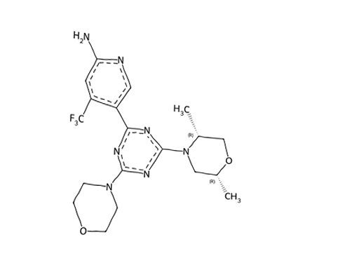 C[C@@H]1CN(c2nc(-c3cnc(N)cc3C(F)(F)F)nc(N3CCOCC3)n2)[C@H](C)CO1